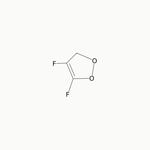 FC1=C(F)OOC1